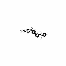 N#CCCN1CCN(C(=O)c2ccc(-c3cncc(C(=O)Nc4ccccc4)n3)cc2)CC1